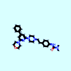 CN(C)C(=O)NC1CCC(CCN2CCN(c3cc(-c4ccccc4)cc(N4CCOCC4)n3)CC2)CC1